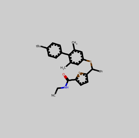 Cc1cc(SC(c2ccc(C(=O)NCC#N)s2)C(C)C)cc(C)c1-c1ccc(C(C)(C)C)cc1